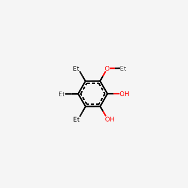 CCOc1c(O)c(O)c(CC)c(CC)c1CC